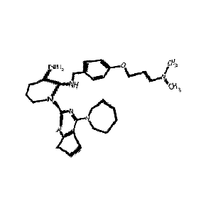 CN(C)CCCOc1ccc(CNC2C(N)CCCN2c2nc3c(c(N4CCCCCC4)n2)CCC3)cc1